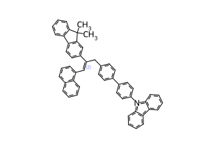 CC1(C)c2ccccc2-c2ccc(/C(=C\c3cccc4ccccc34)Cc3ccc(-c4ccc(-n5c6ccccc6c6ccccc65)cc4)cc3)cc21